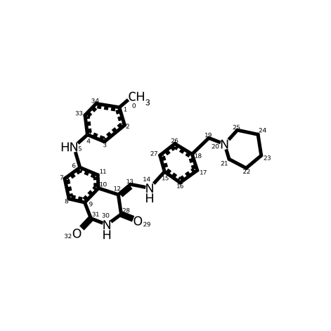 Cc1ccc(Nc2ccc3c(c2)C(=CNc2ccc(CN4CCCCC4)cc2)C(=O)NC3=O)cc1